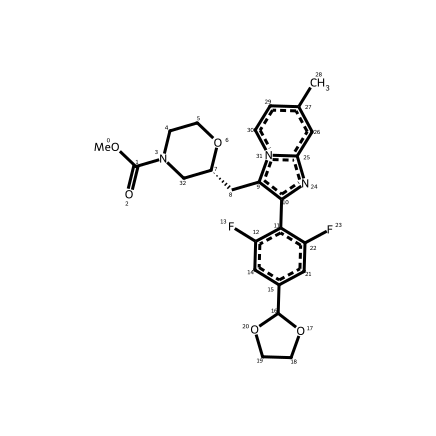 COC(=O)N1CCO[C@H](Cc2c(-c3c(F)cc(C4OCCO4)cc3F)nc3cc(C)ccn23)C1